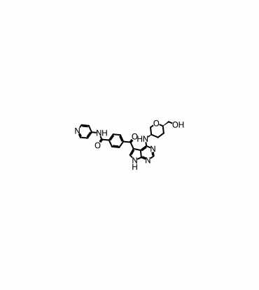 O=C(Nc1ccncc1)c1ccc(C(=O)c2c[nH]c3ncnc(N[C@@H]4CC[C@H](CO)OC4)c23)cc1